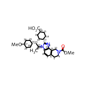 COC(=O)N1CCc2ccc3c(nc([C@H]4CC[C@H](C(=O)O)CC4)n3[C@@H](C)C[C@H]3CC[C@@H](OC)CC3)c2C1